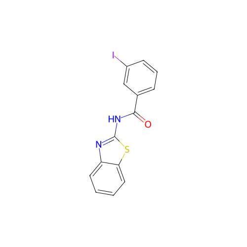 O=C(Nc1nc2ccccc2s1)c1cccc(I)c1